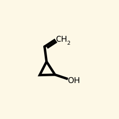 C=CC1CC1O